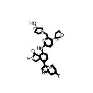 O=C1NCc2c(-c3cnc4cc(F)ccn34)ccc(Nc3ccc([C@@H]4CCOC4)c(CN4CC[C@H](O)C4)n3)c21